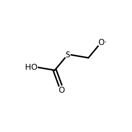 [O]CSC(=O)O